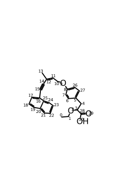 CCOC(Cc1ccc(OCC=C(C)C#Cc2cccc3ccccc23)cc1)C(=O)O